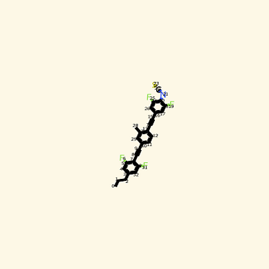 CCCc1cc(F)c(C#Cc2ccc(C#Cc3cc(F)c(N=C=S)c(F)c3)c(C)c2)c(F)c1